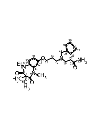 CCN1C(=O)C(C)(C)C(=O)N(C)c2cc(OCCCN(CCC(N)=O)Cc3ccncc3)ccc21